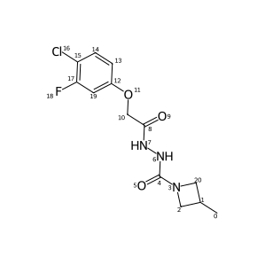 CC1CN(C(=O)NNC(=O)COc2ccc(Cl)c(F)c2)C1